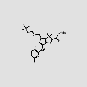 Cc1ccc(F)c(Nc2nn(COCC[Si](C)(C)C)c3c2CN(C(=O)OC(C)(C)C)C3(C)C)n1